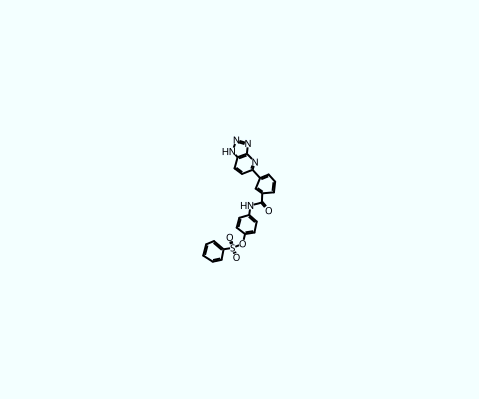 O=C(Nc1ccc(OS(=O)(=O)c2ccccc2)cc1)c1cccc(-c2ccc3[nH]nnc3n2)c1